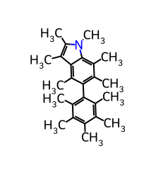 Cc1c(C)c(C)c(-c2c(C)c(C)c3c(c2C)c(C)c(C)n3C)c(C)c1C